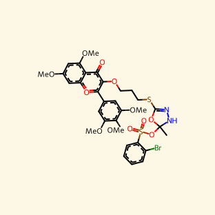 COc1cc(OC)c2c(=O)c(OCCCSC3=NNC(C)(OS(=O)(=O)c4ccccc4Br)O3)c(-c3cc(OC)c(OC)c(OC)c3)oc2c1